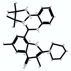 Cc1cc(C(C)Oc2ccccc2B2OC(C)(C)C(C)(C)O2)c2oc(N3CCCCC3)c(C)c(=O)c2c1